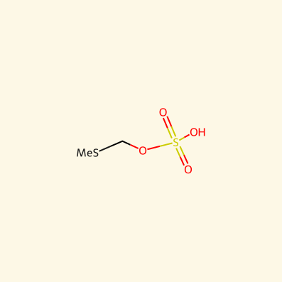 CSCOS(=O)(=O)O